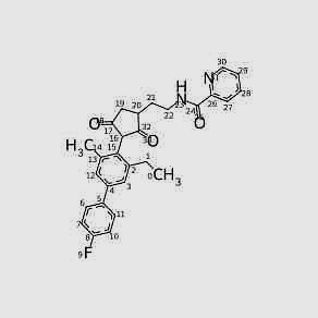 CCc1cc(-c2ccc(F)cc2)cc(C)c1C1C(=O)CC(CCNC(=O)c2ccccn2)C1=O